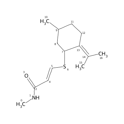 CNC(=O)C=CSC1CC(C)CCC1=C(C)C